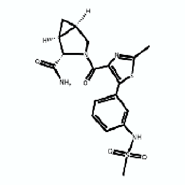 Cc1nc(C(=O)N2C[C@@H]3C[C@@H]3[C@H]2C(N)=O)c(-c2cccc(NS(C)(=O)=O)c2)s1